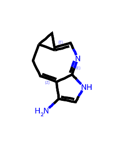 Nc1c[nH]c2/c1=C\CC1C/C1=C\N=2